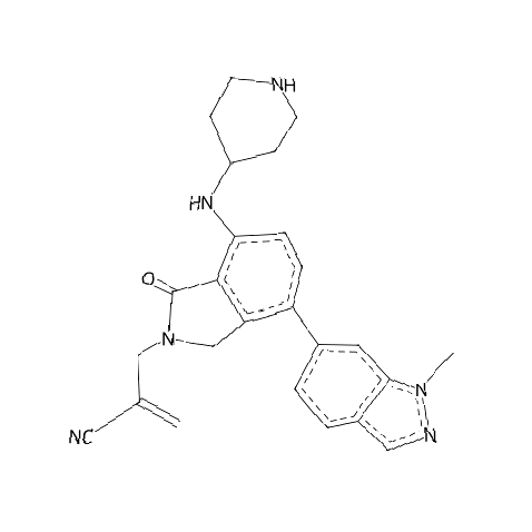 C=C(C#N)CN1Cc2c(-c3ccc4cnn(C)c4c3)ccc(NC3CCNCC3)c2C1=O